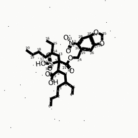 CCCCC(CC)CC(C(=O)O)C(CC(CC)CCCC)(C(=O)OCc1cc2c(cc1[N+](=O)[O-])OCO2)S(=O)(=O)O